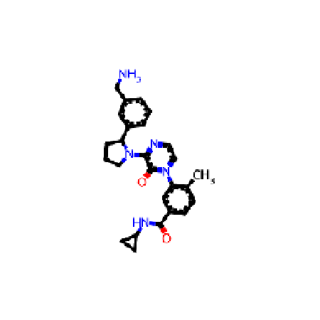 Cc1ccc(C(=O)NC2CC2)cc1-n1ccnc(N2CCCC2c2cccc(CN)c2)c1=O